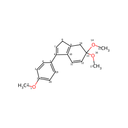 COc1ccc(C2=CCC3=C2C=CC(OC)(OC)C3)cc1